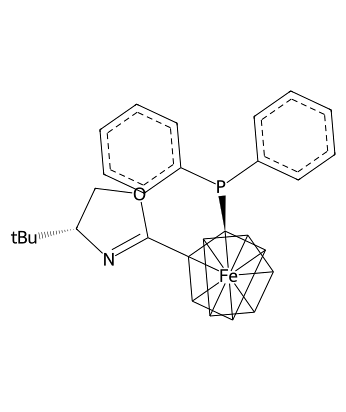 CC(C)(C)[C@@H]1COC([C]23[CH]4[CH]5[CH]6[C@]2(P(c2ccccc2)c2ccccc2)[Fe]54632789[CH]3[CH]2[CH]7[CH]8[CH]39)=N1